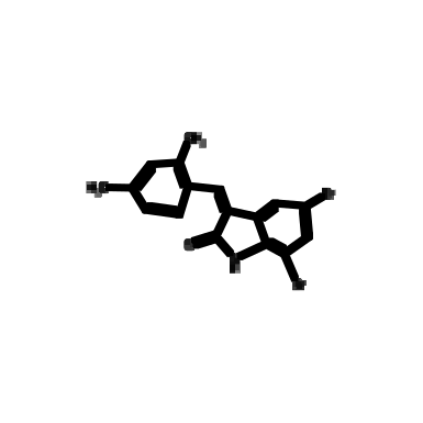 Cc1ccc(C=C2C(=O)Nc3c(Br)cc(Br)cc32)c(C)c1